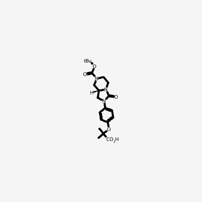 CC(C)(C)OC(=O)N1CCN2C(=O)N(c3ccc(OC(C)(C)C(=O)O)cc3)C[C@@H]2C1